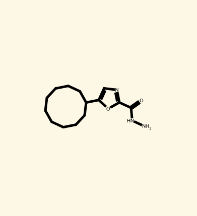 NNC(=O)c1ncc(C2CCCCCCCCC2)o1